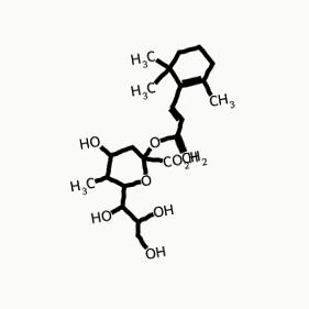 C=C(/C=C/C1=C(C)CCCC1(C)C)OC1(C(=O)O)CC(O)C(C)C(C(O)C(O)CO)O1